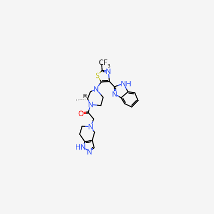 C[C@@H]1CN(c2sc(C(F)(F)F)nc2-c2nc3ccccc3[nH]2)CCN1C(=O)CN1CCc2[nH]ncc2C1